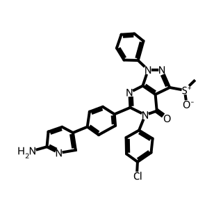 C[S+]([O-])c1nn(-c2ccccc2)c2nc(-c3ccc(-c4ccc(N)nc4)cc3)n(-c3ccc(Cl)cc3)c(=O)c12